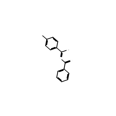 N=C(/N=C(\N)c1ccc(I)cc1)c1ccccc1